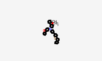 CC1(C)c2ccccc2-c2cc(N(c3ccc(-c4ccc5c(c4)sc4c6ccccc6ccc54)cc3)c3ccc4oc5ccccc5c4c3)ccc21